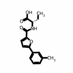 CC[C@H](NC(=O)c1ccc(-c2cccc(C)c2)o1)C(=O)O